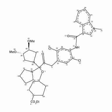 CCOC(=O)C1CCC(OC(C(=O)Cc2cc(Cl)c(NC(=O)c3cn(C)c4ccccc34)cc2Cl)(N2CCCC2)N2C[C@H](OC)[C@@H](OC)C2)CC1